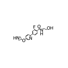 O=C(NCCO)c1ccc(-c2ccc(OC3CNC3)cn2)cc1F